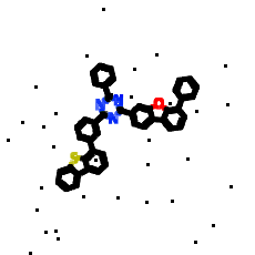 c1ccc(-c2nc(-c3cccc(-c4cccc5c4sc4ccccc45)c3)nc(-c3ccc4c(c3)oc3c(-c5ccccc5)cccc34)n2)cc1